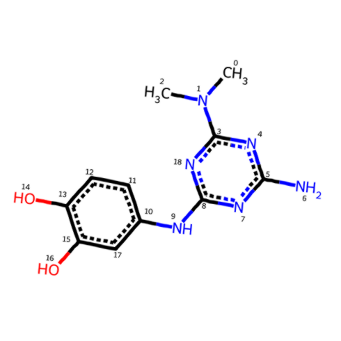 CN(C)c1nc(N)nc(Nc2ccc(O)c(O)c2)n1